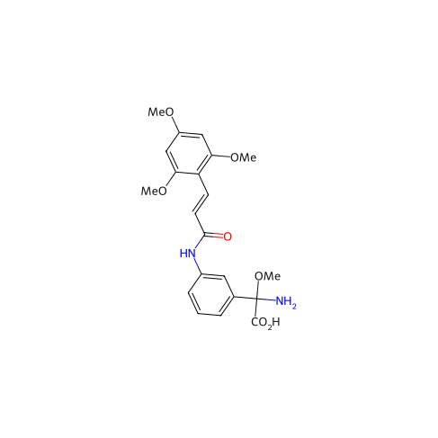 COc1cc(OC)c(C=CC(=O)Nc2cccc(C(N)(OC)C(=O)O)c2)c(OC)c1